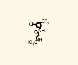 O=C(O)NCCC(=O)Nc1cc(Cl)cc(C(F)(F)F)c1